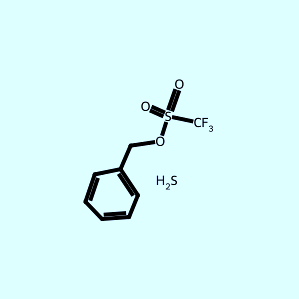 O=S(=O)(OCc1ccccc1)C(F)(F)F.S